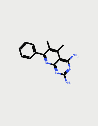 Cc1c(-c2ccccc2)nc2nc(N)nc(N)c2c1C